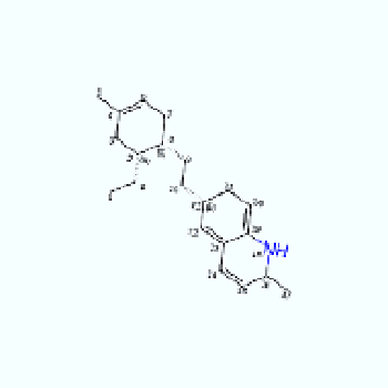 CC[C@@H]1CC(C)=CC[C@@H]1CC[C@H]1C=C2C=CC(C)NC2=CC1